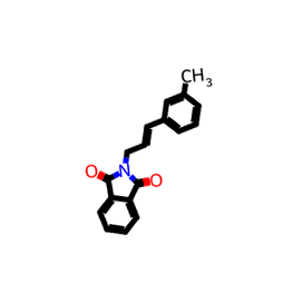 Cc1cccc(/C=C/CN2C(=O)c3ccccc3C2=O)c1